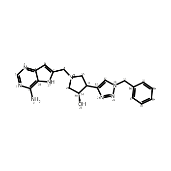 Nc1ncnc2cc(CN3CC(c4cn(Cc5ccccc5)nn4)[C@@H](O)C3)[nH]c12